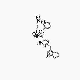 CCN(CC)CCCS(=O)(=O)N[C@H](CCc1ccccc1)c1nc(Cc2cn(C)c3ccccc23)n[nH]1